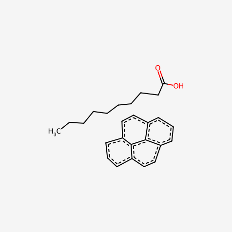 CCCCCCCCCC(=O)O.c1cc2ccc3cccc4ccc(c1)c2c34